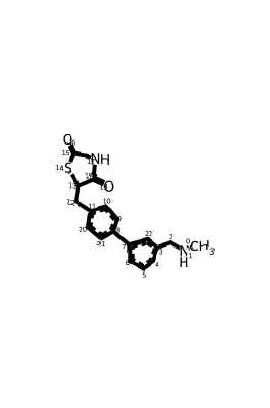 CNCc1cccc(-c2ccc(CC3SC(=O)NC3=O)cc2)c1